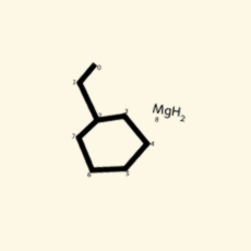 CC[C]1CCCCC1.[MgH2]